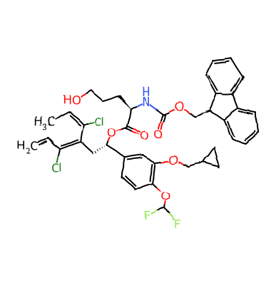 C=C/C(Cl)=C(C[C@H](OC(=O)[C@@H](CCCO)NC(=O)OCC1c2ccccc2-c2ccccc21)c1ccc(OC(F)F)c(OCC2CC2)c1)\C(Cl)=C/C